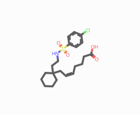 O=C(O)CCC/C=C\CC1(CCNS(=O)(=O)c2ccc(Cl)cc2)CCCCC1